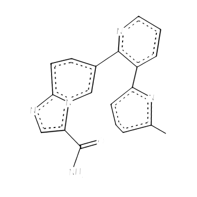 Cc1cccc(-c2cccnc2-c2ccc3ncc(C(N)=O)n3c2)n1